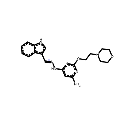 Nc1cc(N/N=C/c2c[nH]c3ccccc23)nc(OCCN2CCOCC2)n1